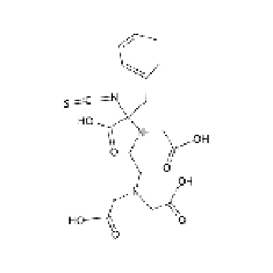 O=C(O)CN(CCN(CC(=O)O)C(Cc1ccccc1)(N=C=S)C(=O)O)CC(=O)O